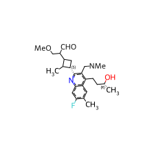 CNCc1c([C@H]2CC(C(C=O)COC)C2C)nc2cc(F)c(C)cc2c1CC[C@@H](C)O